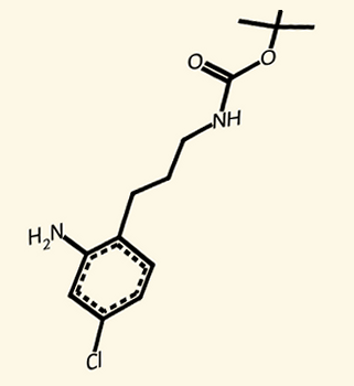 CC(C)(C)OC(=O)NCCCc1ccc(Cl)cc1N